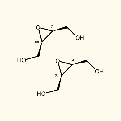 OC[C@@H]1O[C@@H]1CO.OC[C@@H]1O[C@@H]1CO